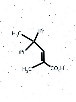 CC(=CC(C)(C(C)C)C(C)C)C(=O)O